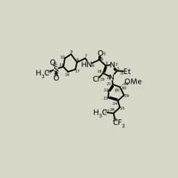 CCc1nc(C(=O)NCC2CCC(S(C)(=O)=O)CC2)c(Cl)n1C1=CC=C(CC(C)C(F)(F)F)C[C@H]1OC